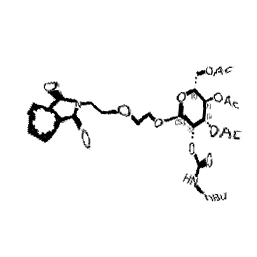 CCCCNC(=O)O[C@@H]1[C@@H](OCCOCCN2C(=O)c3ccccc3C2=O)O[C@H](COC(C)=O)[C@@H](OC(C)=O)[C@@H]1OC(C)=O